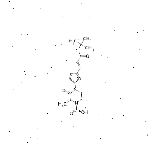 C[C@@H]1C(=O)N(c2ccc(/C=C/C(=O)OC(C)(C)C)o2)CCN1C(=O)O